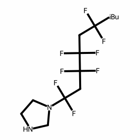 CCC(C)C(F)(F)CC(F)(F)C(F)(F)CC(F)(F)N1CCNC1